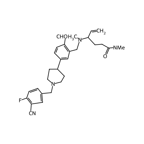 C=CC(CCC(=O)NC)N(C)Cc1cc(C2CCN(Cc3ccc(F)c(C#N)c3)CC2)ccc1C=O